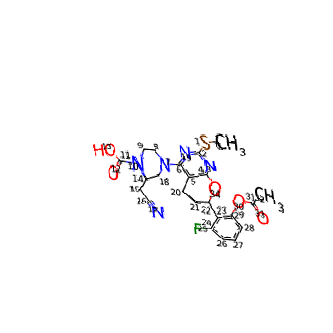 CSc1nc2c(c(N3CCN(C(=O)O)C(CC#N)C3)n1)CCC(c1c(F)cccc1OC(C)=O)O2